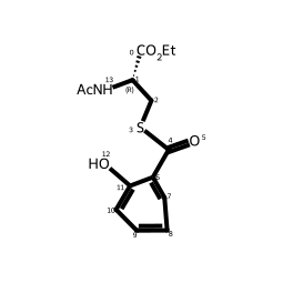 CCOC(=O)[C@H](CSC(=O)c1ccccc1O)NC(C)=O